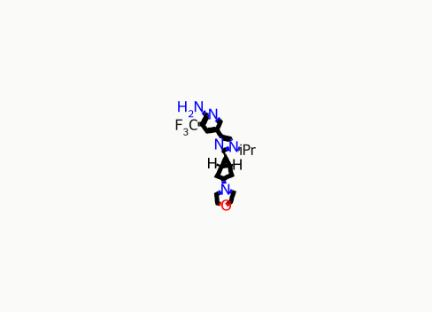 CC(C)n1cc(-c2cnc(N)c(C(F)(F)F)c2)nc1[C@H]1[C@@H]2CC(N3CCOCC3)C[C@@H]21